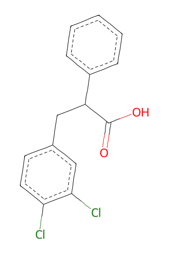 O=C(O)C(Cc1ccc(Cl)c(Cl)c1)c1ccccc1